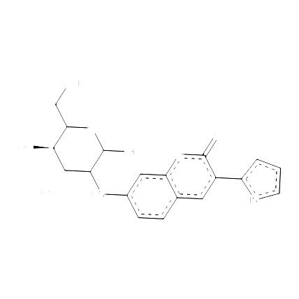 O=c1oc2cc(NC3C(O)OC(CO)[C@H](O)[C@H]3O)ccc2cc1-c1ccc[nH]1